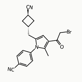 Cc1c(C(=O)CBr)cc(C[C@H]2C[C@H](C#N)C2)n1-c1ccc(C#N)cc1